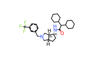 O=C(N[C@@H]1CC[C@@H]2CN(Cc3cccc(C(F)(F)F)c3)C[C@@H]21)C(C1CCCCC1)C1CCCCC1